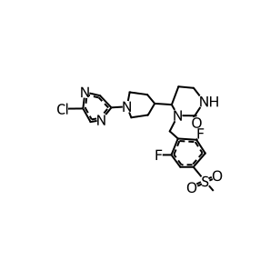 CS(=O)(=O)c1cc(F)c(CN2C(=O)NCCC2C2CCN(c3cnc(Cl)cn3)CC2)c(F)c1